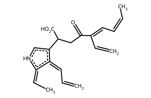 C=C/C=c1/c(C(CC(=O)/C(C=C)=C/C=C\C)C(=O)O)c[nH]/c1=C/C